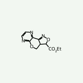 CCOC(=O)C1ON=C2c3nccnc3OCC21